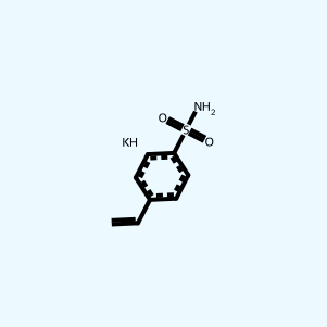 C=Cc1ccc(S(N)(=O)=O)cc1.[KH]